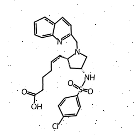 O=C(O)CCC/C=C\[C@@H]1C[C@@H](NS(=O)(=O)c2ccc(Cl)cc2)CN1Cc1ccc2ccccc2n1